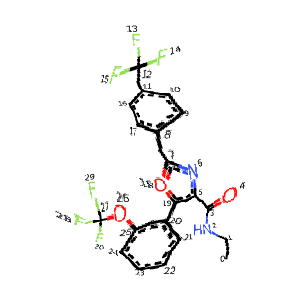 CCNC(=O)c1nc(-c2ccc(C(F)(F)F)cc2)oc1-c1ccccc1OC(F)(F)F